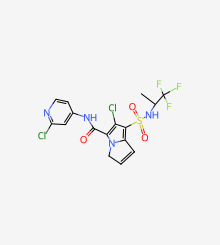 CC(NS(=O)(=O)c1c(Cl)c(C(=O)Nc2ccnc(Cl)c2)n2c1C=CC2)C(F)(F)F